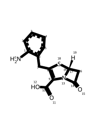 Nc1ccccc1CC1=C(C(=O)O)N2C(=O)C[C@H]2S1